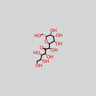 O=C(C(O)C1O[C@H](CO)[C@@H](O)[C@H](O)[C@H]1O)[C@@H](O)[C@H](O)[C@H](O)CO